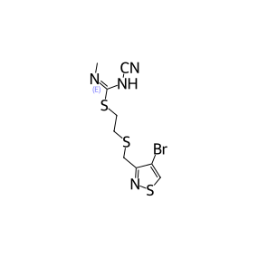 C/N=C(\NC#N)SCCSCc1nscc1Br